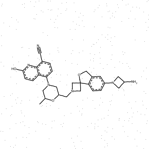 CC1CN(c2ccc(C#N)c3nc(O)ccc23)CC(CN2CC3(C2)OCc2cc(N4CC(N)C4)ccc23)O1